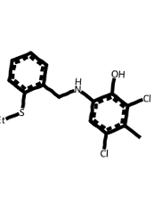 CCSc1ccccc1CNc1cc(Cl)c(C)c(Cl)c1O